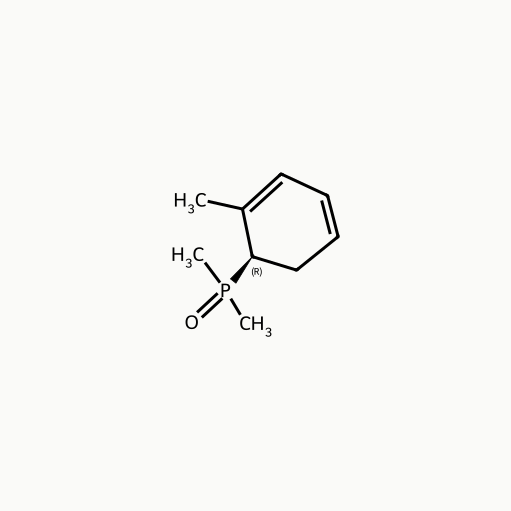 CC1=CC=CC[C@H]1P(C)(C)=O